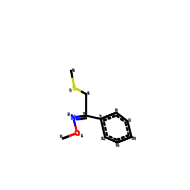 CO/N=C(/CSC)c1ccccc1